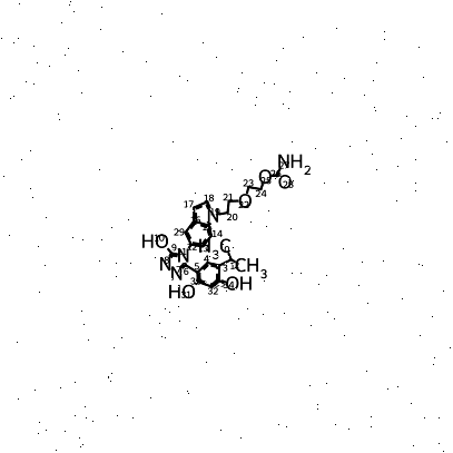 CC(C)c1cc(-c2nnc(O)n2-c2ccc3c(ccn3CCOCCOC(N)=O)c2)c(O)cc1O